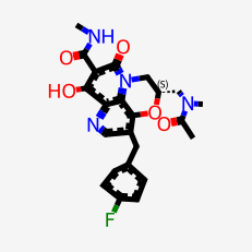 CNC(=O)c1c(O)c2ncc(Cc3ccc(F)cc3)c3c2n(c1=O)C[C@H](CN(C)C(C)=O)O3